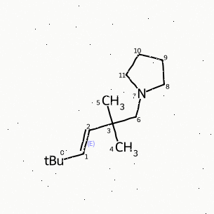 CC(C)(C)/C=C/C(C)(C)CN1CCCC1